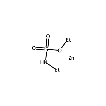 CCNS(=O)(=O)OCC.[Zn]